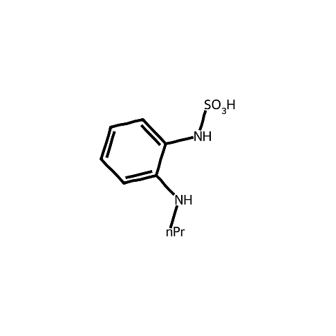 CCCNc1ccccc1NS(=O)(=O)O